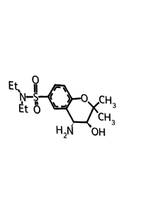 CCN(CC)S(=O)(=O)c1ccc2c(c1)[C@@H](N)[C@H](O)C(C)(C)O2